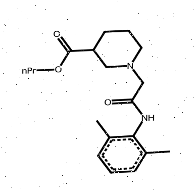 CCCOC(=O)C1CCCN(CC(=O)Nc2c(C)cccc2C)C1